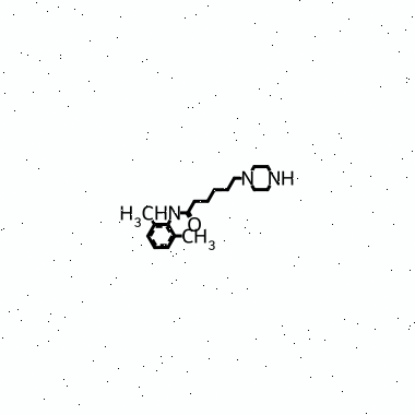 Cc1cccc(C)c1NC(=O)CCCCCN1CCNCC1